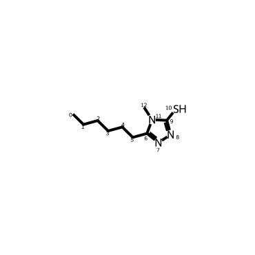 CCCCCCc1nnc(S)n1C